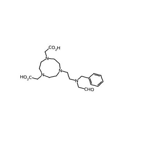 O=CCN(CCN1CCN(CC(=O)O)CCN(CC(=O)O)CC1)Cc1ccccc1